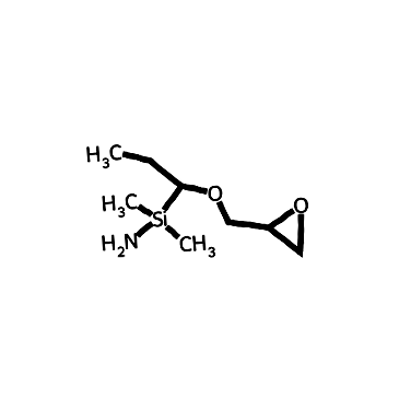 CCC(OCC1CO1)[Si](C)(C)N